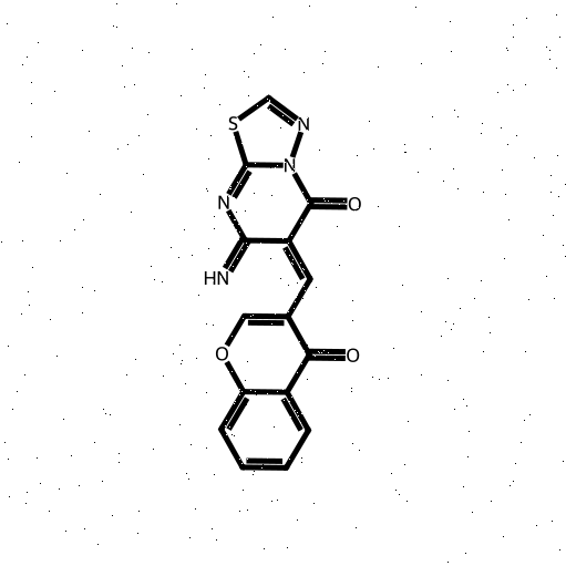 N=C1N=C2SC=NN2C(=O)/C1=C/c1coc2ccccc2c1=O